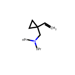 C=CC1(CN(CCC)CCC)CC1